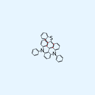 c1ccc(N(c2ccccc2)c2cccc(N(c3ccccc3)c3ccccc3)c2-c2ccc3sc4ccccc4c3c2)cc1